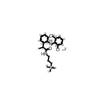 CC(C(=O)NCCC[N+](C)(C)C)c1ccccc1Nc1c(Cl)cccc1Cl.[I-]